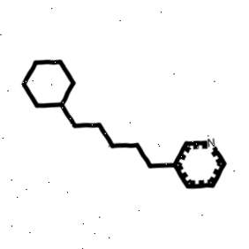 [CH](CCc1cccnc1)CCC1CCCCC1